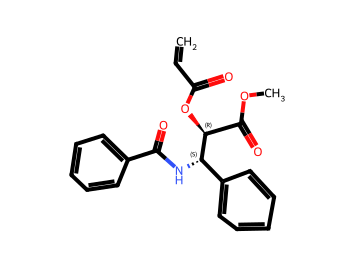 C=CC(=O)O[C@@H](C(=O)OC)[C@@H](NC(=O)c1ccccc1)c1ccccc1